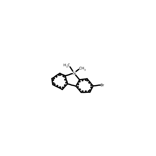 C[Si]1(C)c2ccccc2-c2ccc(Br)cc21